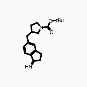 CC(C)(C)OC(=O)N1CCC(Cc2ccc3c(c2)CCC3=N)C1